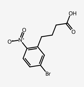 O=C(O)CCCc1cc(Br)ccc1[N+](=O)[O-]